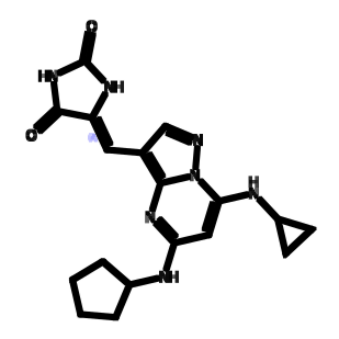 O=C1NC(=O)/C(=C/c2cnn3c(NC4CC4)cc(NC4CCCC4)nc23)N1